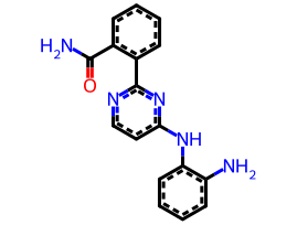 NC(=O)c1ccccc1-c1nccc(Nc2ccccc2N)n1